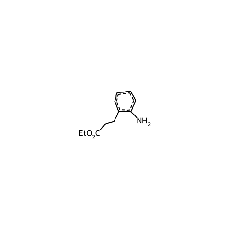 CCOC(=O)CCc1ccccc1N